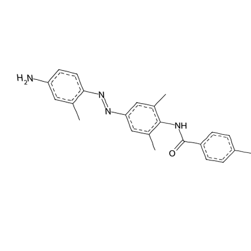 Cc1ccc(C(=O)Nc2c(C)cc(N=Nc3ccc(N)cc3C)cc2C)cc1